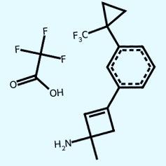 CC1(N)C=C(c2cccc(C3(C(F)(F)F)CC3)c2)C1.O=C(O)C(F)(F)F